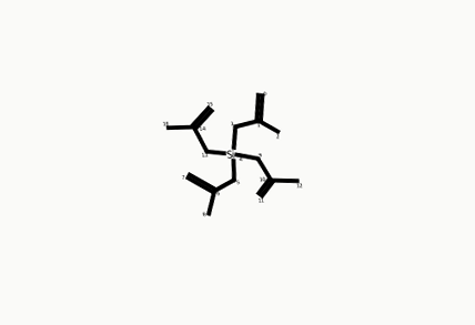 C=C(C)C[Si](CC(=C)C)(CC(=C)C)CC(=C)C